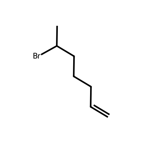 C=CCCCC(C)Br